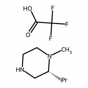 CC(C)[C@@H]1CNCCN1C.O=C(O)C(F)(F)F